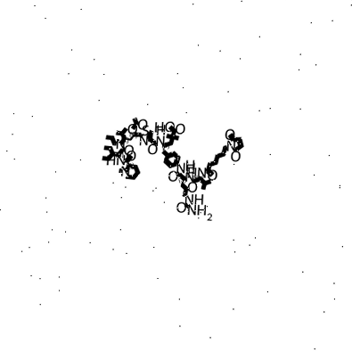 CCCN(C(=O)[C@@H](NC(=O)[C@H]1CCCCN1C)C(CC)CC)[C@H](C[C@@H](OC(C)=O)c1nc(C(=O)N[C@@H](Cc2ccc(NC(=O)[C@H](CCCNC(N)=O)NC(=O)[C@@H](NC(=O)CCCCCN3C(=O)C=CC3=O)C(C)C)cc2)CC(C)(C)C(=O)O)cs1)C(C)C